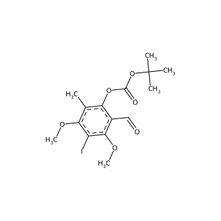 COc1c(C)c(OC(=O)OC(C)(C)C)c(C=O)c(OC)c1I